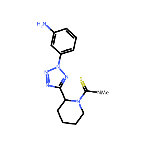 CNC(=S)N1CCCCC1c1nnn(-c2cccc(N)c2)n1